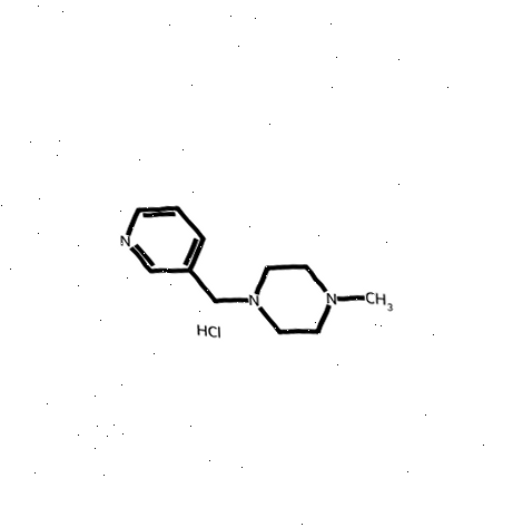 CN1CCN(Cc2cccnc2)CC1.Cl